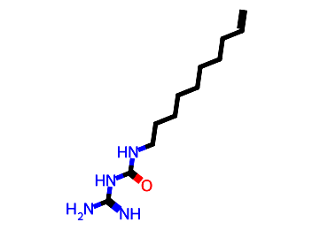 C=CCCCCCCCCNC(=O)NC(=N)N